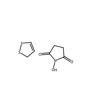 C1=CSSC1.O=C1CCC(=O)N1O